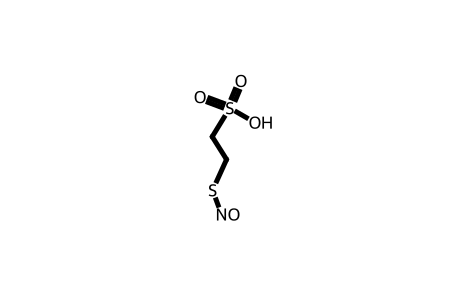 O=NSCCS(=O)(=O)O